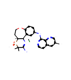 C[C@H]1C[C@@H]2[C@](CF)(N=C(N)C(C)(C)S2(=O)=O)c2cc(Nc3nccc4cc(C#N)cnc34)ccc2O1